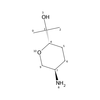 CC(C)(O)[C@@H]1CC[C@@H](N)CO1